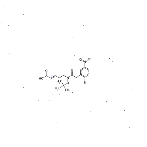 CC(C)(C)ON(CC/C=C/C(=O)O)C(=O)Cc1cc([N+](=O)[O-])ccc1Br